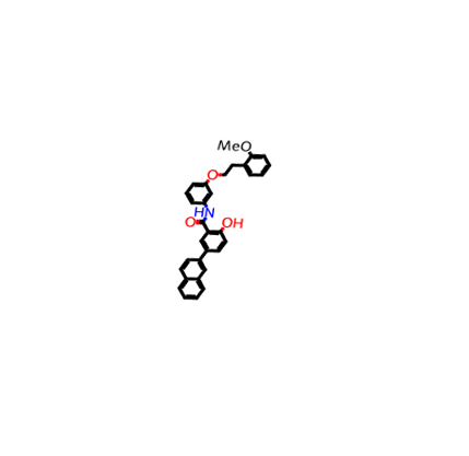 COc1ccccc1CCOc1cccc(NC(=O)c2cc(-c3ccc4ccccc4c3)ccc2O)c1